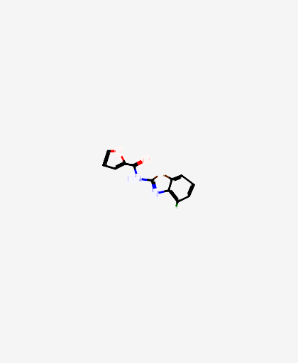 O=C(Nc1nc2c(Cl)cccc2s1)c1ccco1